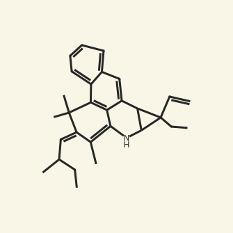 C=CC1(CC)C2NC3=C(C)/C(=C\C(C)CC)C(C)(C)c4c3c(cc3ccccc43)C21